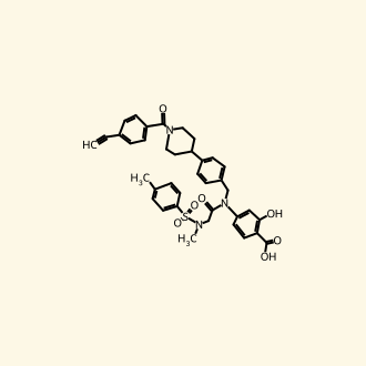 C#Cc1ccc(C(=O)N2CCC(c3ccc(CN(C(=O)CN(C)S(=O)(=O)c4ccc(C)cc4)c4ccc(C(=O)O)c(O)c4)cc3)CC2)cc1